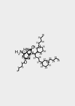 CCCCOc1nc(N)c2[nH]c(=O)n(C(CCCC3CCCN(CCCC)C3)C3CCCN(CCCC)C3)c2n1